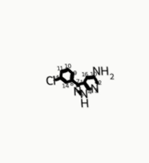 Nc1cnc2[nH]nc(-c3cccc(Cl)c3)c2c1